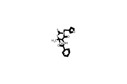 CC1(C)SC(=S)N(Cc2ccoc2)C(=O)C1NC(=O)c1ccccc1